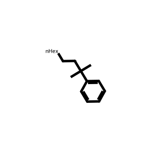 CCCCCCC[CH]C(C)(C)c1ccccc1